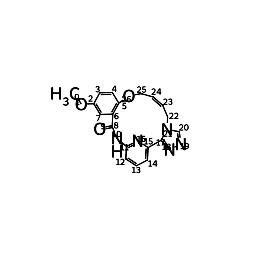 COc1ccc2c(c1)C(=O)Nc1cccc(n1)-c1nncn1C/C=C\CO2